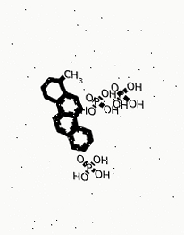 CC1CCCc2c1ccc1c2ccc2ccccc21.O=P(O)(O)O.O=P(O)(O)O.O=P(O)(O)O